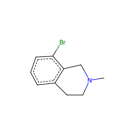 CN1CCc2cccc(Br)c2C1